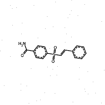 NC(=O)c1ccc(S(=O)(=O)C=Cc2ccccc2)cc1